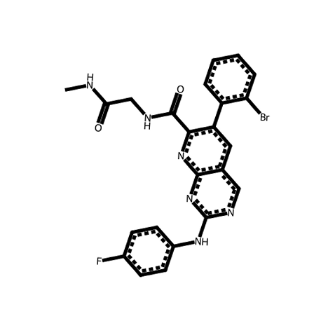 CNC(=O)CNC(=O)c1nc2nc(Nc3ccc(F)cc3)ncc2cc1-c1ccccc1Br